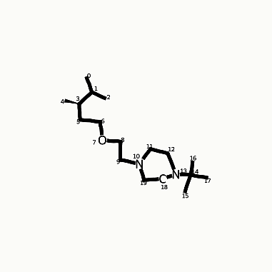 CC(C)[C@H](C)CCOCCN1CCN(C(C)(C)C)CC1